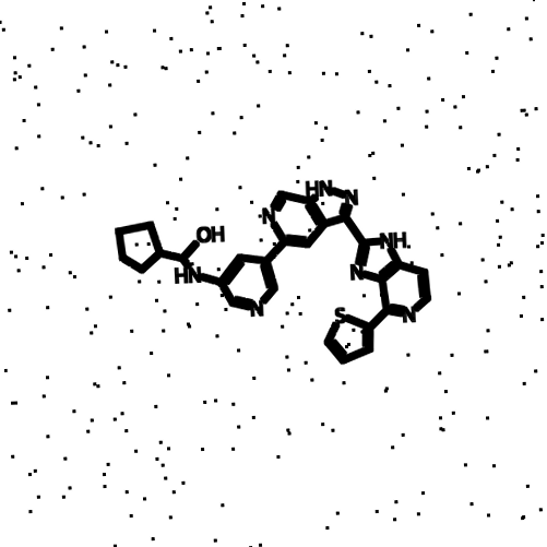 OC(Nc1cncc(-c2cc3c(-c4nc5c(-c6cccs6)nccc5[nH]4)n[nH]c3cn2)c1)C1CCCC1